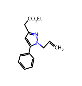 C=CCn1nc(CC(=O)OCC)cc1-c1ccccc1